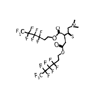 CN(C)CC(=S)C(CC(=O)OCCC(F)(F)C(F)(F)C(F)(F)C(F)(F)F)C(=O)OCCC(F)(F)C(F)(F)C(F)(F)C(F)(F)F